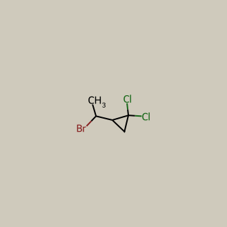 CC(Br)C1CC1(Cl)Cl